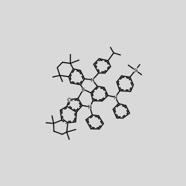 CC(C)c1ccc(N2c3cc4c(cc3B3c5oc6cc7c(cc6c5N(c5ccccc5)c5cc(N(c6ccccc6)c6ccc([Si](C)(C)C)cc6)cc2c53)C(C)(C)CCC7(C)C)C(C)(C)CCC4(C)C)cc1